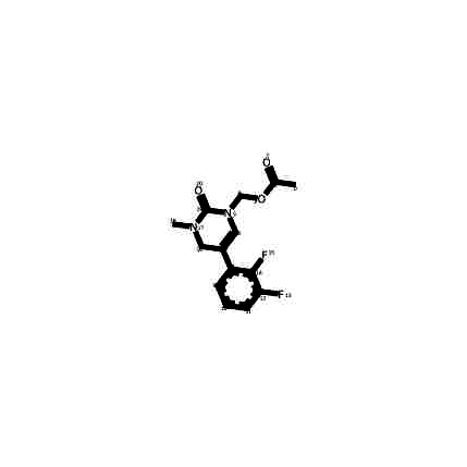 CC(=O)OCN1C=C(c2cccc(F)c2F)CN(C)C1=O